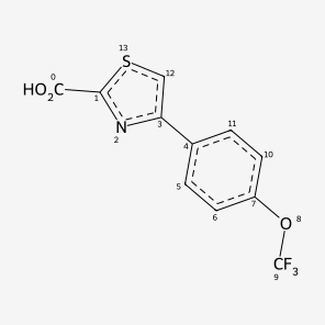 O=C(O)c1nc(-c2ccc(OC(F)(F)F)cc2)cs1